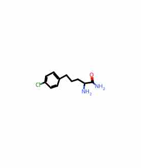 NC(=O)C(N)CCCc1ccc(Cl)cc1